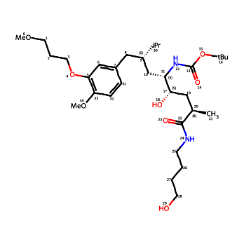 COCCCOc1cc(C[C@@H](C[C@H](NC(=O)OC(C)(C)C)[C@@H](O)C[C@@H](C)C(=O)NCCCCO)C(C)C)ccc1OC